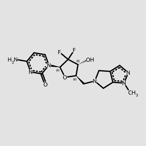 Cn1ncc2c1CN(C[C@H]1O[C@@H](n3ccc(N)nc3=O)C(F)(F)[C@@H]1O)C2